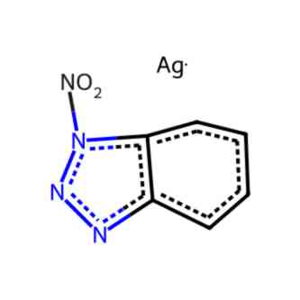 O=[N+]([O-])n1nnc2ccccc21.[Ag]